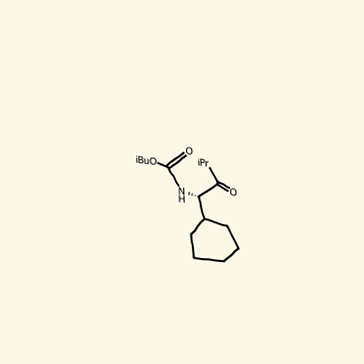 CC(C)COC(=O)N[C@H](C(=O)C(C)C)C1CCCCC1